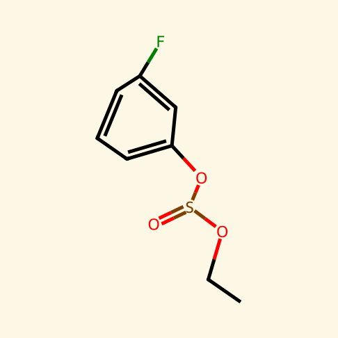 CCOS(=O)Oc1cccc(F)c1